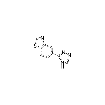 c1nnc(-c2ccc3scnc3c2)[nH]1